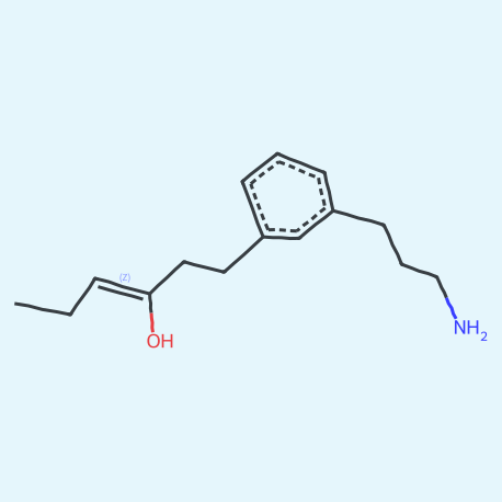 CC/C=C(\O)CCc1cccc(CCCN)c1